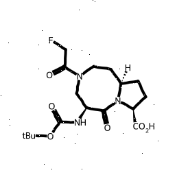 CC(C)(C)OC(=O)N[C@H]1CN(C(=O)CF)CC[C@H]2CC[C@@H](C(=O)O)N2C1=O